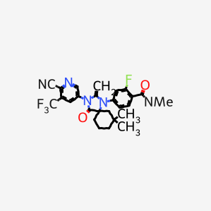 C=C1N(c2cnc(C#N)c(C(F)(F)F)c2)C(=O)C2(CCCC(C)(C)C2)N1c1ccc(C(=O)NC)c(F)c1